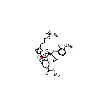 COc1cccc(CN(C(=O)C2=C(c3cnc(CCCO[Si](C)(C)C(C)(C)C)s3)CC3CN(C(=O)OC(C)(C)C)CC2N3C(=O)OC(C)(C)C)C2CC2)c1C